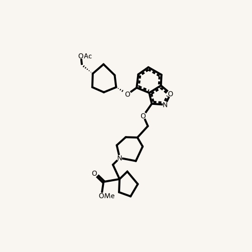 COC(=O)C1(CN2CCC(COc3noc4cccc(O[C@H]5CC[C@@H](COC(C)=O)CC5)c34)CC2)CCCC1